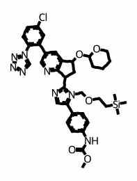 COC(=O)Nc1ccc(-c2cnc(C3CC(OC4CCCCO4)c4cc(-c5cc(Cl)ccc5-n5cnnn5)cnc43)n2COCC[Si](C)(C)C)cc1